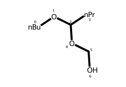 CCCCOC(CCC)OCO